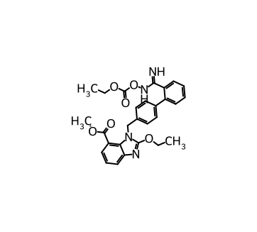 CCOC(=O)ONC(=N)c1ccccc1-c1ccc(Cn2c(OCC)nc3cccc(C(=O)OC)c32)cc1